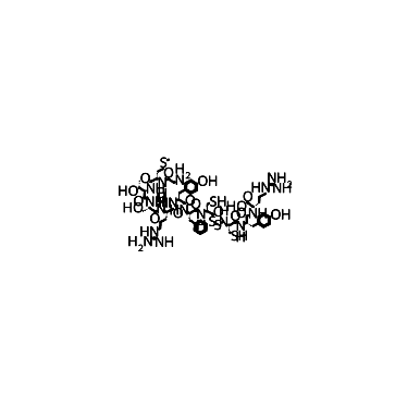 CSCC[C@H](NC(=O)CN)C(=O)N[C@H](C(=O)N[C@@H](CO)C(=O)N[C@@H](CCCNC(=N)N)C(=O)N[C@@H](Cc1ccc(O)cc1)C(=O)N[C@@H](Cc1ccccc1)C(=O)N[C@@H](CS)C(=O)SSN[C@@H](CS)C(=O)N[C@@H](Cc1ccc(O)cc1)C(=O)N[C@@H](CCCNC(=N)N)C(=O)O)[C@@H](C)O